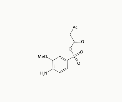 COc1cc(S(=O)(=O)OC(=O)CC(C)=O)ccc1N